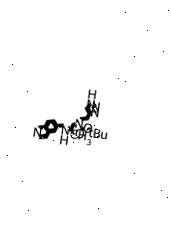 C[C@H](CN(CCc1c[nH]nn1)C(=O)OC(C)(C)C)NCc1ccc2cnccc2c1